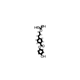 O=C(Oc1ccc(O)cc1)c1ccc(CCCON(O)O)cc1